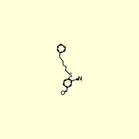 N#Cc1cc(C=O)ccc1SCCCCCc1ccccc1